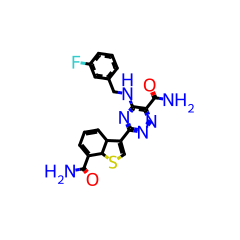 NC(=O)C1=CC=CC2C(c3nnc(C(N)=O)c(NCc4cccc(F)c4)n3)=CSC12